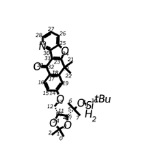 CC1(C)O[C@@H](C(C)(C)O[SiH2]C(C)(C)C)[C@@H](COc2ccc3c(c2)C(C)(C)c2oc4cccnc4c2C3=O)O1